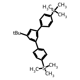 CC(C)(C)c1cc(-c2ccc([Si](C)(C)C)cc2)cc(-c2ccc([Si](C)(C)C)cc2)c1